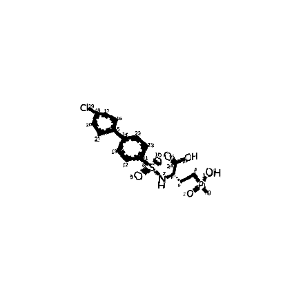 CP(=O)(O)CC[C@H](NS(=O)(=O)c1ccc(-c2ccc(Cl)cc2)cc1)C(=O)O